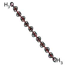 COCCCCCCOC(=O)OCCCCCCOC(=O)OCCCCCCOC(=O)OCCCCCCOC(=O)OCCCCCCOC(=O)OCCCCCCOC(=O)OCCCCCCOC(=O)OCCCCCCOC(=O)OCCCCCCOC(=O)OCCCCCCOC(=O)OCCCCCOC